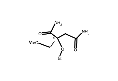 CCO[C@](COC)(CC(N)=O)C(N)=O